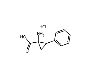 Cl.NC1(C(=O)O)CC1c1ccccc1